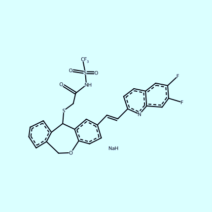 O=C(CSC1c2ccccc2COc2ccc(/C=C/c3ccc4cc(F)c(F)cc4n3)cc21)NS(=O)(=O)C(F)(F)F.[NaH]